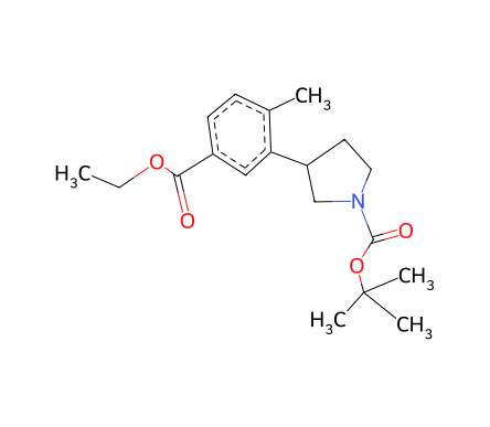 CCOC(=O)c1ccc(C)c(C2CCN(C(=O)OC(C)(C)C)C2)c1